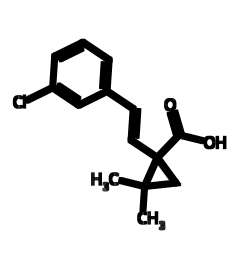 CC1(C)CC1(C=Cc1cccc(Cl)c1)C(=O)O